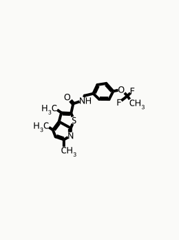 Cc1cc(C)c2c(C)c(C(=O)NCc3ccc(OC(C)(F)F)cc3)sc2n1